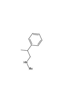 CCC(C)NCC(C)c1ccccc1